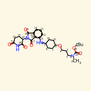 CN(CCCOC1CCC(Nc2cccc3c2C(=O)N(C2CCC(=O)NC2=O)C3=O)CC1)C(=O)OC(C)(C)C